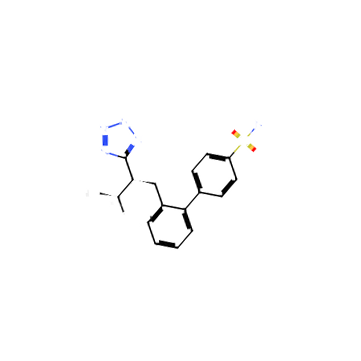 CCC[C@H](C(=O)O)[C@H](Cc1ccccc1-c1ccc(S(N)(=O)=O)cc1)c1nn[nH]n1